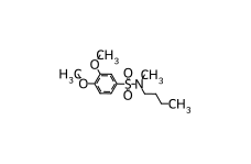 CCCCN(C)S(=O)(=O)c1ccc(OC)c(OC)c1